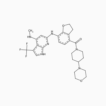 CNc1cc(Nc2ccc(C(=O)N3CCC(N4CCOCC4)CC3)c3c2OCC3)nc2[nH]cc(C(F)(F)F)c12